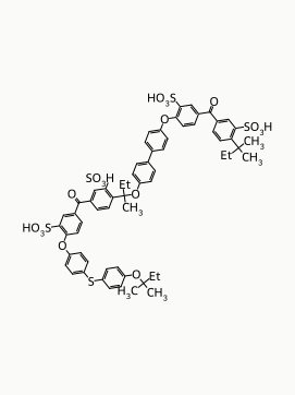 CCC(C)(C)Oc1ccc(Sc2ccc(Oc3ccc(C(=O)c4ccc(C(C)(CC)Oc5ccc(-c6ccc(Oc7ccc(C(=O)c8ccc(C(C)(C)CC)c(S(=O)(=O)O)c8)cc7S(=O)(=O)O)cc6)cc5)c(S(=O)(=O)O)c4)cc3S(=O)(=O)O)cc2)cc1